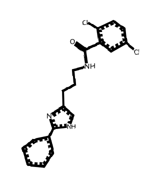 O=C(NCCCc1c[nH]c(-c2ccccc2)n1)c1cc(Cl)ccc1Cl